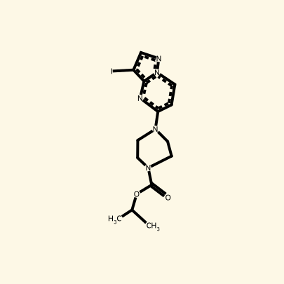 CC(C)OC(=O)N1CCN(c2ccn3ncc(I)c3n2)CC1